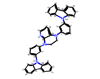 c1cc(N2CCN(c3cccc(-n4c5ccccc5c5ccccc54)c3)c3ncccc32)cc(-n2c3ccccc3c3ccccc32)c1